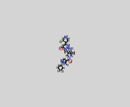 Cc1c(C(=O)N2C[C@@H]3[C@H](C2)[C@@H]3N(C)c2nc(-c3ccncc3F)cc(=O)n2C)cnn1-c1ccccc1